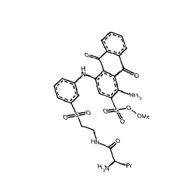 COOS(=O)(=O)c1cc(Nc2cccc(S(=O)(=O)CCNC(=O)C(N)C(C)C)c2)c2c(c1N)C(=O)c1ccccc1C2=O